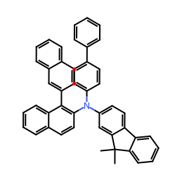 CC1(C)c2ccccc2-c2ccc(N(c3ccc(-c4ccccc4)cc3)c3ccc4ccccc4c3-c3ccc4ccccc4c3)cc21